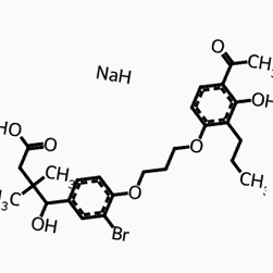 CCCc1c(OCCCOc2ccc(C(O)C(C)(C)CC(=O)O)cc2Br)ccc(C(C)=O)c1O.[NaH]